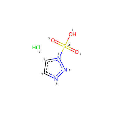 Cl.O=S(=O)(O)n1ccnn1